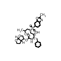 Cc1nc2ccc(S(=O)(=O)N(CC(C)C)C[C@@H](O)[C@H](Cc3ccccc3)NC(=O)O[C@H]3CO[C@H]4OCC[C@H]43)cc2o1